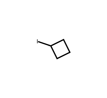 I[C]1CCC1